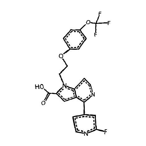 O=C(O)c1cc2c(-c3ccnc(F)c3)nccc2n1CCOc1ccc(OC(F)(F)F)cc1